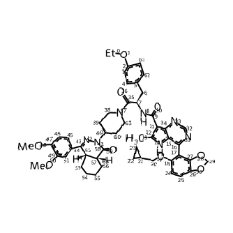 CCOc1ccc(C[C@@H](NC(=O)c2c(C)[nH]c3c(-c4c(OCC5CC5)ccc5c4OCO5)ncnc23)C(=O)N2CCC(N3N=C(c4ccc(OC)c(OC)c4)[C@H]4CCCC[C@H]4C3=O)CC2)cc1